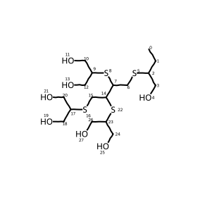 CCC(CO)SCC(SC(CO)CO)C(CSC(CO)CO)SC(CO)CO